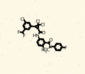 CN(C(=O)c1cc(NC(=O)C2C(c3cc(Cl)cc(C(F)F)c3)C2(Cl)Cl)ccc1Cl)c1ccc(F)cc1